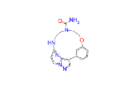 NC(=O)N1CCNc2ccn3ncc(c3n2)-c2cccc(c2)OCC1